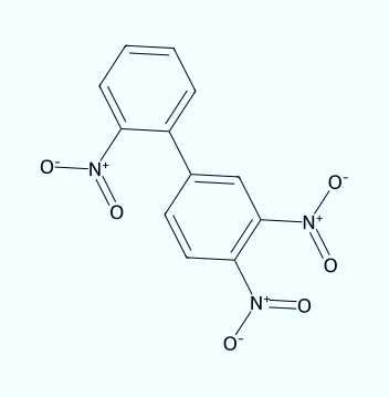 O=[N+]([O-])c1ccccc1-c1ccc([N+](=O)[O-])c([N+](=O)[O-])c1